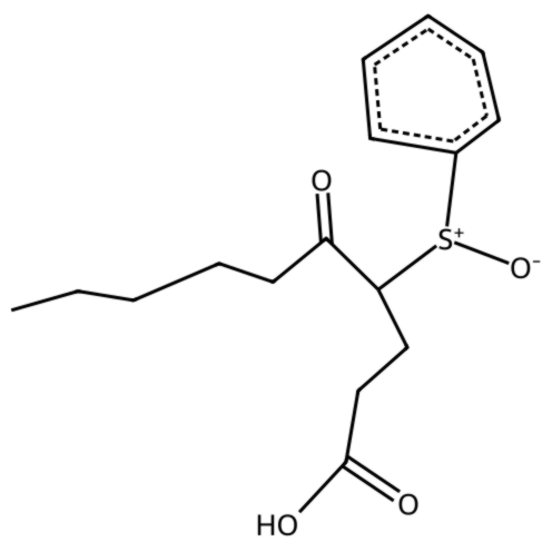 CCCCCC(=O)C(CCC(=O)O)[S+]([O-])c1ccccc1